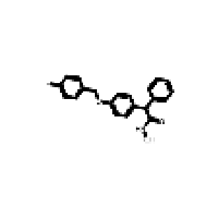 O=C(NO)C(c1ccccc1)c1ccc(OCc2ccc(F)cc2)cc1